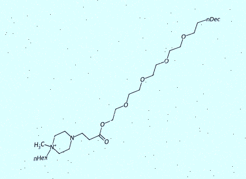 CCCCCCCCCCCCOCCOCCOCCOCCOC(=O)CCN1CC[N+](C)(CCCCCC)CC1